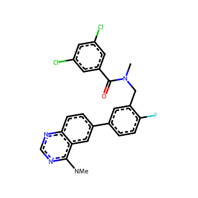 CNc1ncnc2ccc(-c3ccc(F)c(CN(C)C(=O)c4cc(Cl)cc(Cl)c4)c3)cc12